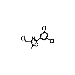 Cc1oc(-c2cc(Cl)cc(Cl)c2)nc1CCl